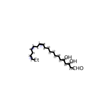 CC/C=C\C/C=C\C/C=C\CCCCCCC[C@@H](O)C[C@@H](O)CC=O